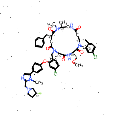 COC[C@@H]1NC(=O)[C@H](C)N(Cc2ccc(Cl)cc2Oc2ccc(-c3cnc(CN4CC[C@@H](F)C4)n3C)cc2)C(=O)C[C@@H](Cc2ccccc2)C(=O)N(C)[C@@H](C)CNC(=O)C[C@H](Cc2ccc(Cl)cc2)N(C)C1=O